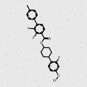 CCOc1ccc(C2CCC(OC(=O)c3ccc(-c4ccc(C)cc4)c(F)c3F)CC2)c(F)c1